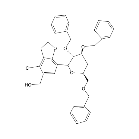 OCc1cc(C2O[C@H](COCc3ccccc3)C[C@H](OCc3ccccc3)[C@H]2OCc2ccccc2)c2c(c1Cl)CCO2